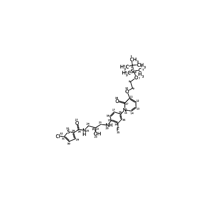 CC(C)(C)[Si](C)(C)OCCOc1cccn(-c2ccc(NC[C@@H](O)CNC(=O)c3ccc(Cl)s3)c(F)c2)c1=O